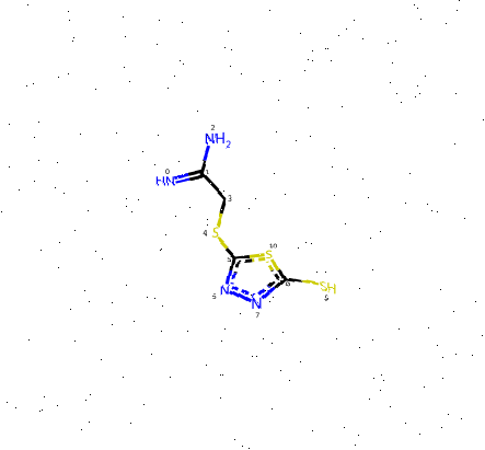 N=C(N)CSc1nnc(S)s1